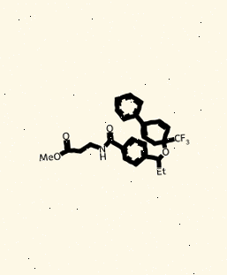 CCC(OC1(C(F)(F)F)C=CC(c2ccccc2)=CC1)c1ccc(C(=O)NCCC(=O)OC)cc1